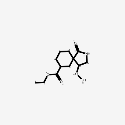 CCOC(=O)C1CCCC2(C1)C(=O)NCC2OS